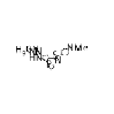 CN[C@H]1CC[C@H](c2ncc(-c3ccc(Nc4cn(C)nn4)cc3P3CCCC3)s2)CC1